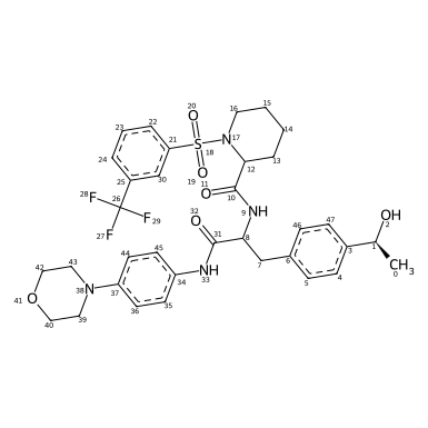 C[C@H](O)c1ccc(CC(NC(=O)C2CCCCN2S(=O)(=O)c2cccc(C(F)(F)F)c2)C(=O)Nc2ccc(N3CCOCC3)cc2)cc1